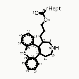 CCCCCCCC(=O)OCCCC1CNCCC2=C1c1ccccc1Sc1ccccc12